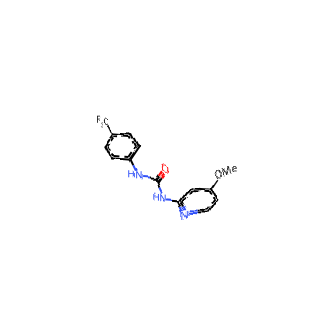 COc1ccnc(NC(=O)Nc2ccc(C(F)(F)F)cc2)c1